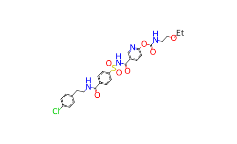 CCOCCNC(=O)Oc1ccc(C(=O)NS(=O)(=O)c2ccc(C(=O)NCCc3ccc(Cl)cc3)cc2)cn1